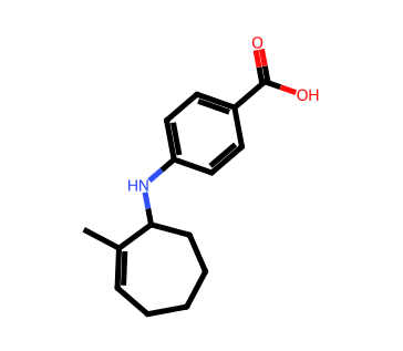 CC1=CCCCCC1Nc1ccc(C(=O)O)cc1